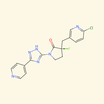 O=C1N(c2nc(-c3ccncc3)n[nH]2)CC[C@@]1(F)Cc1ccc(Cl)nc1